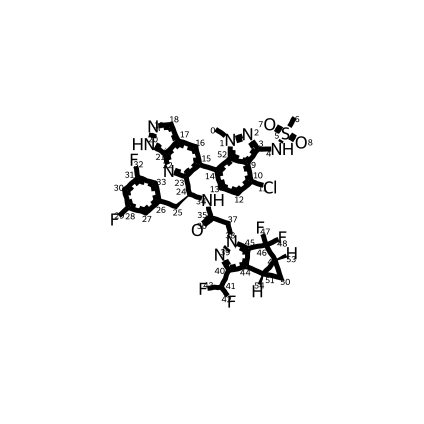 Cn1nc(NS(C)(=O)=O)c2c(Cl)ccc(-c3cc4cn[nH]c4nc3[C@H](Cc3cc(F)cc(F)c3)NC(=O)Cn3nc(C(F)F)c4c3C(F)(F)[C@@H]3C[C@H]43)c21